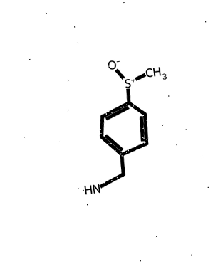 C[S+]([O-])c1ccc(C[NH])cc1